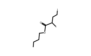 CCCCOC(=O)C(I)CCI